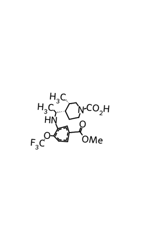 COC(=O)c1ccc(OC(F)(F)F)c(NC(C)[C@H]2CCN(C(=O)O)C[C@H]2C)c1